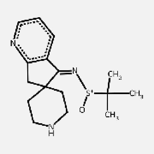 CC(C)(C)[S+]([O-])/N=C1/c2cccnc2CC12CCNCC2